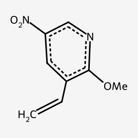 C=Cc1cc([N+](=O)[O-])cnc1OC